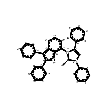 C[C@@H]1N(c2ccccc2)C=C(c2ccccc2)N1c1cccc2c(-c3ccccc3)c(-c3ccccc3)oc12